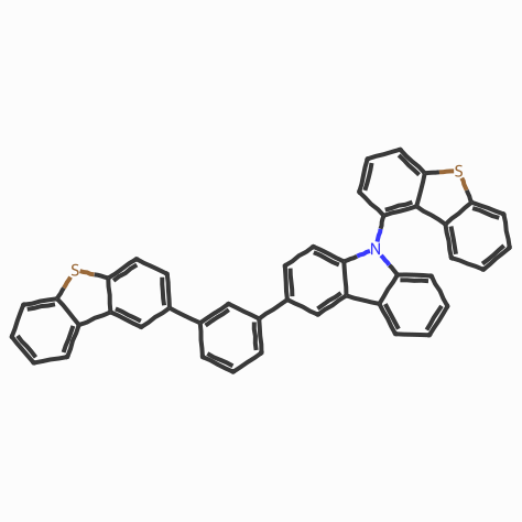 c1cc(-c2ccc3sc4ccccc4c3c2)cc(-c2ccc3c(c2)c2ccccc2n3-c2cccc3sc4ccccc4c23)c1